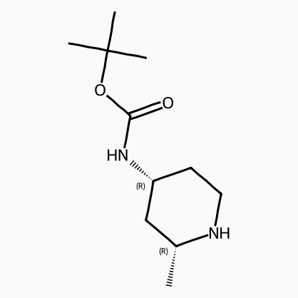 C[C@@H]1C[C@H](NC(=O)OC(C)(C)C)CCN1